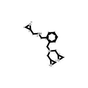 c1ccc(CN(CC2CO2)CC2CO2)c(CNCC2CO2)c1